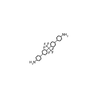 Nc1ccc(-c2ccc(C(c3ccc(-c4ccc(N)cc4)cc3)(C(F)(F)F)C(F)(F)F)cc2)cc1